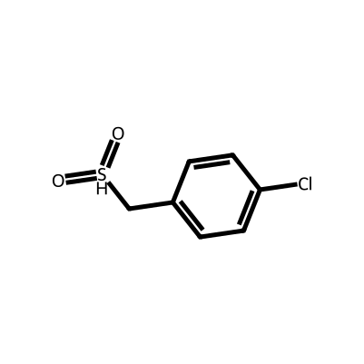 O=[SH](=O)Cc1ccc(Cl)cc1